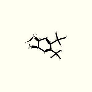 CC(C)(C)c1cc2nonc2cc1C(C)(C)C